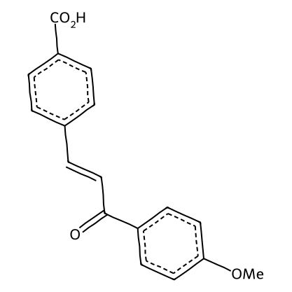 COc1ccc(C(=O)C=Cc2ccc(C(=O)O)cc2)cc1